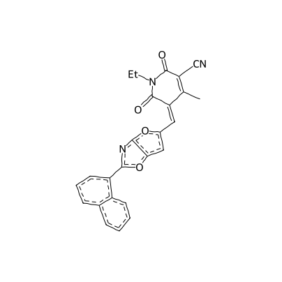 CCN1C(=O)C(C#N)=C(C)/C(=C/c2cc3oc(-c4cccc5ccccc45)nc3o2)C1=O